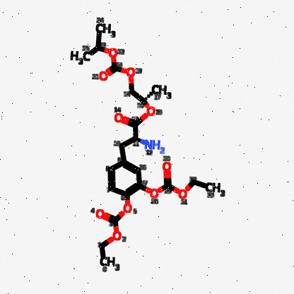 CCOC(=O)Oc1ccc(C[C@H](N)C(=O)O[C@@H](C)COC(=O)OC(C)C)cc1OC(=O)OCC